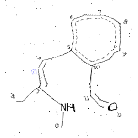 CN/C(C)=C\c1ccccc1C=O